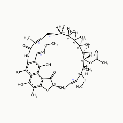 CO/N=C/c1c2c(O)c3c(O)c(C)c4c(c3c1O)C(=O)[C@@](C)(O/C=C/[C@H](OC)[C@@H](C)[C@@H](OC(C)=O)[C@H](C)[C@H](O)[C@H](C)[C@@H](O)[C@@H](C)/C=C/C=C(\C)C(=O)N2)O4